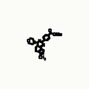 COC(=O)c1ccc(-c2nc(N3CCOCC3)c3ccc4c(ccn4C)c3n2)cc1